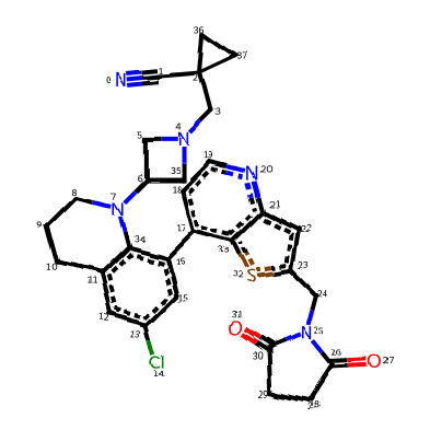 N#CC1(CN2CC(N3CCCc4cc(Cl)cc(-c5ccnc6cc(CN7C(=O)CCC7=O)sc56)c43)C2)CC1